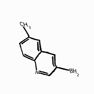 Bc1cnc2ccc(C)cc2c1